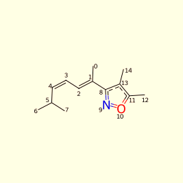 C/C(=C\C=C/C(C)C)c1noc(C)c1C